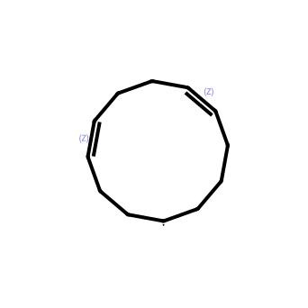 [CH]1CC/C=C\CC/C=C\CCC1